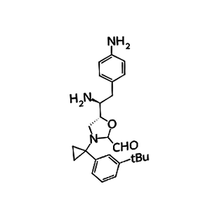 CC(C)(C)c1cccc(C2(N3C[C@H]([C@@H](N)Cc4ccc(N)cc4)OC3C=O)CC2)c1